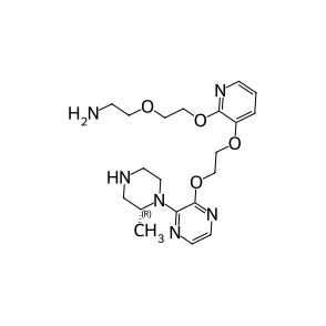 C[C@@H]1CNCCN1c1nccnc1OCCOc1cccnc1OCCOCCN